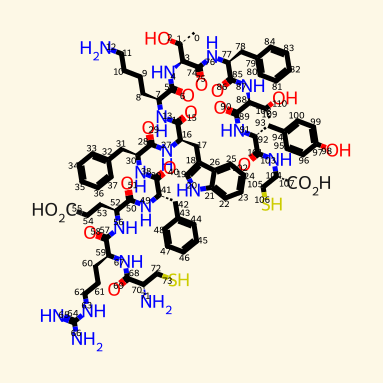 C[C@@H](O)[C@H](NC(=O)[C@H](CCCCN)NC(=O)[C@@H](Cc1c[nH]c2ccccc12)NC(=O)[C@H](Cc1ccccc1)NC(=O)[C@H](Cc1ccccc1)NC(=O)[C@H](CCC(=O)O)NC(=O)[C@H](CCCNC(=N)N)NC(=O)[C@@H](N)CS)C(=O)N[C@@H](Cc1ccccc1)C(=O)N[C@H](C(=O)N[C@H](Cc1ccc(O)cc1)C(=O)N[C@@H](CS)C(=O)O)[C@@H](C)O